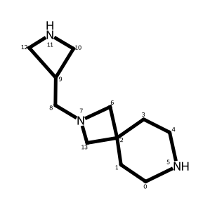 C1CC2(CCN1)CN(CC1CNC1)C2